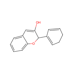 OC1=Cc2ccccc2OC1C1=CCCC=C1